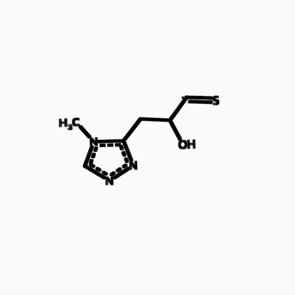 Cn1cnnc1CC(O)[C]=S